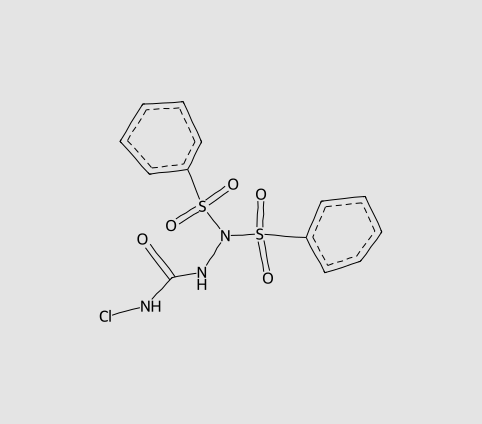 O=C(NCl)NN(S(=O)(=O)c1ccccc1)S(=O)(=O)c1ccccc1